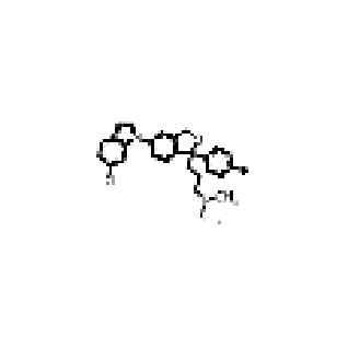 CN(C)CCCC1(c2ccc(F)cc2)OCc2cc(-n3ccc4ccc(Cl)cc43)ccc21